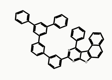 c1ccc(-c2cc(-c3ccccc3)cc(-c3cccc(-c4cccc(-c5nc(-c6ccccc6)c6c(n5)oc5ccc7ccccc7c56)c4)c3)c2)cc1